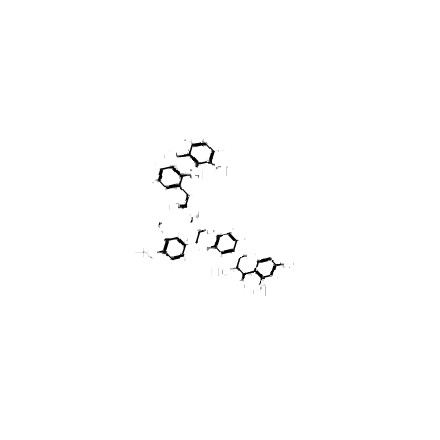 COc1cc([C@@H]2Oc3cc([C@@H]4Oc5cc(O)cc(O)c5C(=O)[C@H]4O)ccc3O[C@H]2COC(=O)Cc2ccccc2Nc2c(Cl)cccc2Cl)ccc1O